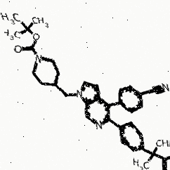 CC(C)(C)OC(=O)N1CCC(Cn2ccc3c(-c4ccc(C#N)cc4)c(-c4ccc(C(C)(C)C(=O)O)cc4)ncc32)CC1